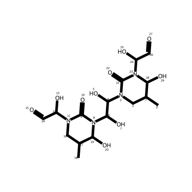 CC1CN(C(O)C(O)N2C(=O)N(C(O)C=O)CC(C)C2O)C(=O)N(C(O)C=O)C1O